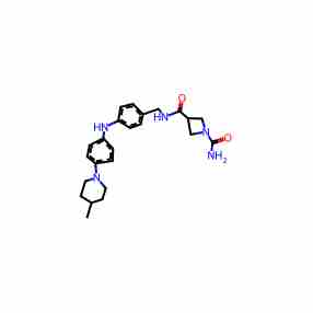 CC1CCN(c2ccc(Nc3ccc(CNC(=O)C4CN(C(N)=O)C4)cc3)cc2)CC1